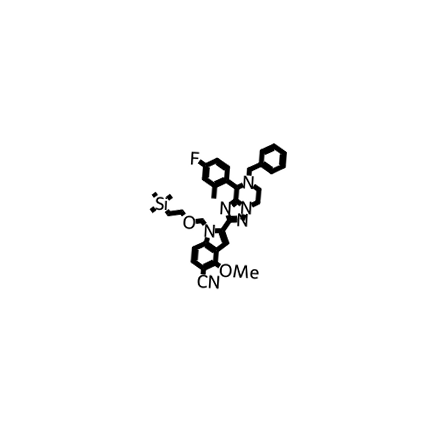 COc1c(C#N)ccc2c1cc(-c1nc3n(n1)CCN(Cc1ccccc1)C3c1ccc(F)cc1C)n2COCC[Si](C)(C)C